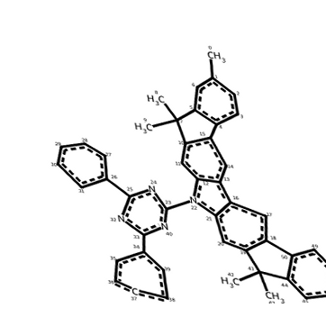 Cc1ccc2c(c1)C(C)(C)c1cc3c(cc1-2)c1cc2c(cc1n3-c1nc(-c3ccccc3)nc(-c3ccccc3)n1)C(C)(C)c1cc(C)ccc1-2